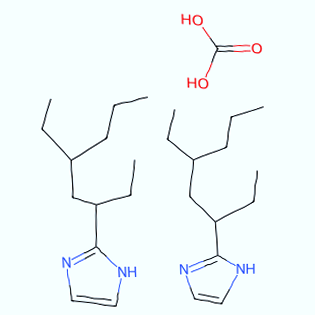 CCCC(CC)CC(CC)c1ncc[nH]1.CCCC(CC)CC(CC)c1ncc[nH]1.O=C(O)O